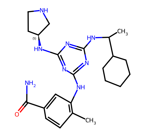 Cc1ccc(C(N)=O)cc1Nc1nc(NC(C)C2CCCCC2)nc(N[C@H]2CCNC2)n1